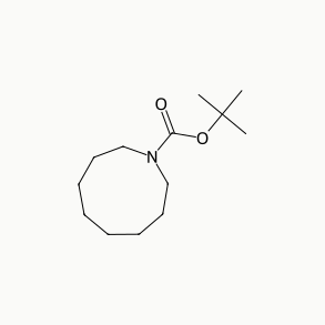 CC(C)(C)OC(=O)N1CCCCCCCC1